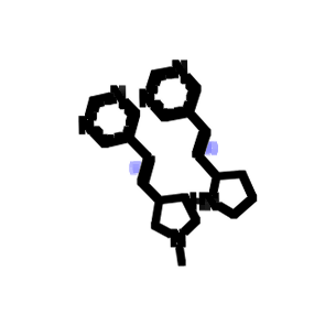 C(=C\C1CCCN1)/c1cncnc1.CN1CCC(/C=C/c2cncnc2)C1